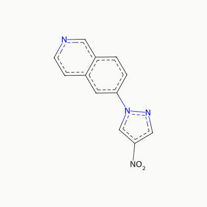 O=[N+]([O-])c1cnn(-c2ccc3cnccc3c2)c1